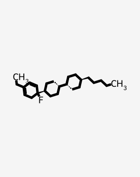 CCCCC[C@H]1CC[C@H]([C@H]2CC[C@H](C3(F)C=CC(CC)=CC3)CC2)CC1